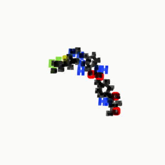 O=C(N[C@H]1CCC[C@@H](Nc2ncnc3sc(CC(F)(F)F)cc23)C1)OCc1ccc(C(=O)NC2COC2)cc1